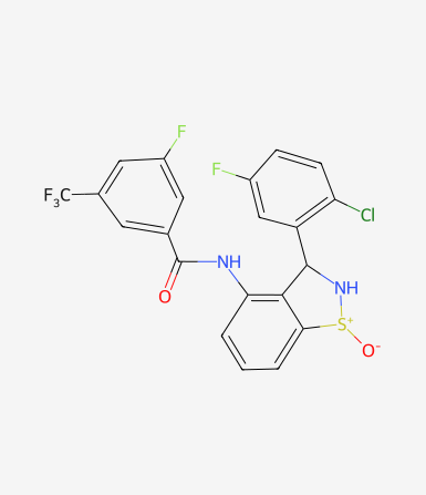 O=C(Nc1cccc2c1C(c1cc(F)ccc1Cl)N[S+]2[O-])c1cc(F)cc(C(F)(F)F)c1